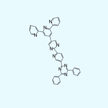 c1ccc(-c2nc(-c3ccccc3)nc(-c3ccc(-c4ncc(-c5cc(-c6ccccn6)nc(-c6ccccn6)c5)cn4)nc3)n2)cc1